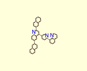 c1ccc2cc(-c3ccc4nc(-c5ccc6ccccc6c5)cc(-c5ccc(-c6cccc7cccnc67)nc5)c4c3)ccc2c1